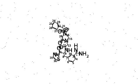 N=C(N)c1cccc(CC(NC(=O)CN2CCN(S(=O)(=O)Cc3ccccc3)CC2=O)C(=O)c2nccs2)c1